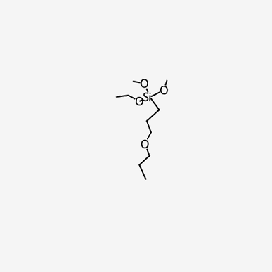 CCCOCCC[Si](OC)(OC)OCC